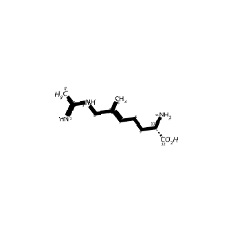 CC(=N)NC/C(C)=C/CC[C@H](N)C(=O)O